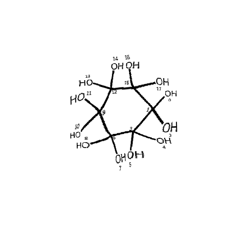 OC1(O)C(O)(O)C(O)(O)C(O)(O)C(O)(O)C1(O)O